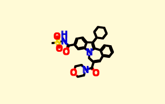 CS(=O)(=O)NC(=O)c1ccc2c(C3CCCCC3)c3n(c2c1)CC(C(=O)N1CCOCC1)=Cc1ccccc1-3